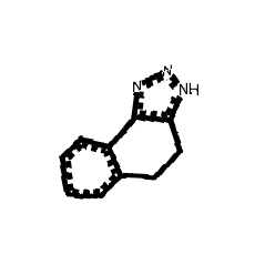 c1ccc2c(c1)CCc1[nH]nnc1-2